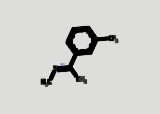 C/N=C(\C)c1cccc(C(F)(F)F)c1